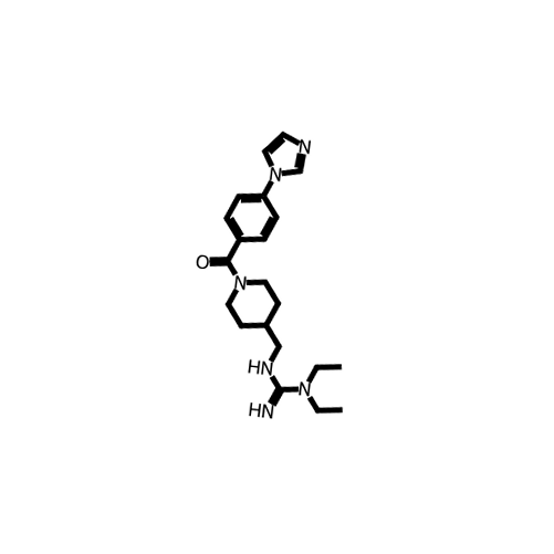 CCN(CC)C(=N)NCC1CCN(C(=O)c2ccc(-n3ccnc3)cc2)CC1